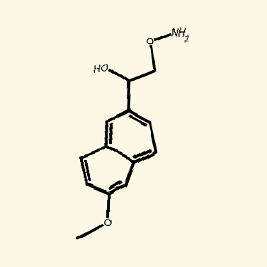 COc1ccc2cc(C(O)CON)ccc2c1